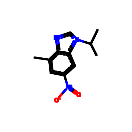 Cc1cc([N+](=O)[O-])cc2c1ncn2C(C)C